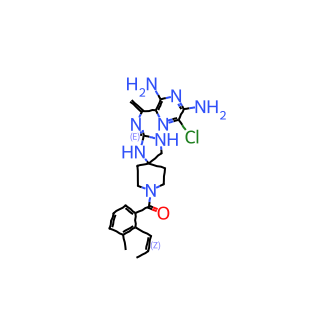 C=C(/N=C1\NCC2(CCN(C(=O)c3cccc(C)c3/C=C\C)CC2)N1)c1nc(Cl)c(N)nc1N